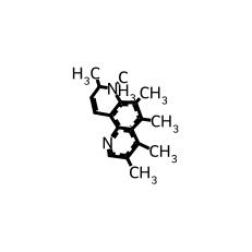 Cc1cnc2c3c(c(C)c(C)c2c1C)N(C)C(C)C=C3